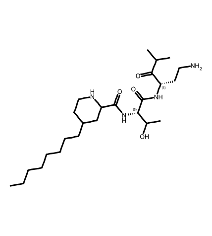 CCCCCCCCC1CCNC(C(=O)N[C@H](C(=O)N[C@@H](CCN)C(=O)C(C)C)C(C)O)C1